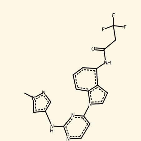 Cn1cc(Nc2nccc(-n3ccc4c(NC(=O)CC(F)(F)F)cccc43)n2)cn1